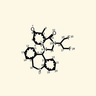 Cc1c2n(ccc1=O)N(C1c3ccccc3CSc3ccccc31)CN(C(CF)CF)C2=O